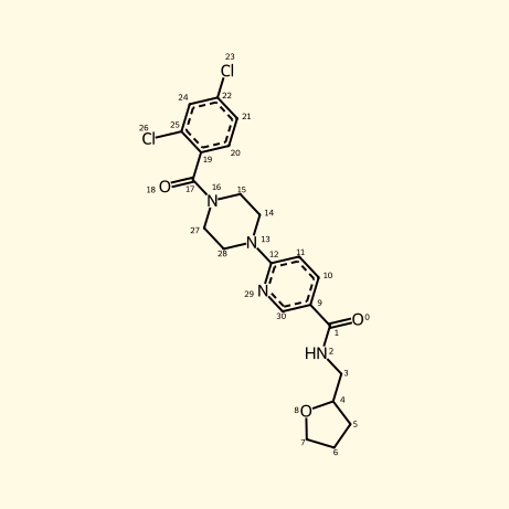 O=C(NCC1CCCO1)c1ccc(N2CCN(C(=O)c3ccc(Cl)cc3Cl)CC2)nc1